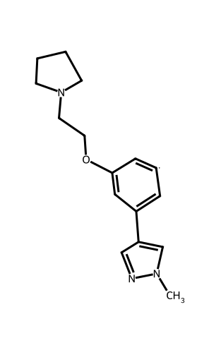 Cn1cc(-c2c[c]cc(OCCN3CCCC3)c2)cn1